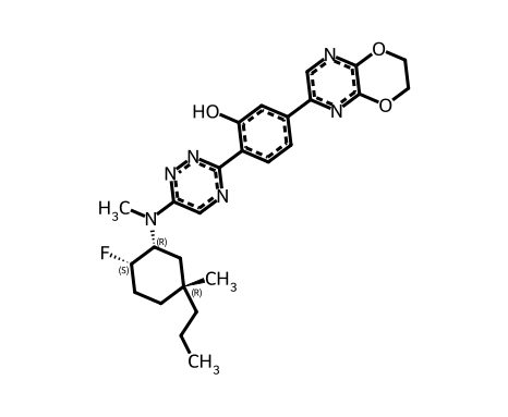 CCC[C@]1(C)CC[C@H](F)[C@H](N(C)c2cnc(-c3ccc(-c4cnc5c(n4)OCCO5)cc3O)nn2)C1